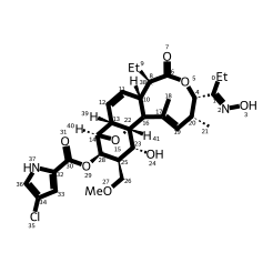 CCC(=NO)[C@H]1OC(=O)[C@H](CC)[C@H]2C=C[C@H]3[C@H]4O[C@]2(/C(C)=C/[C@H]1C)[C@@H]3[C@H](O)[C@@H](COC)[C@H]4OC(=O)c1cc(Cl)c[nH]1